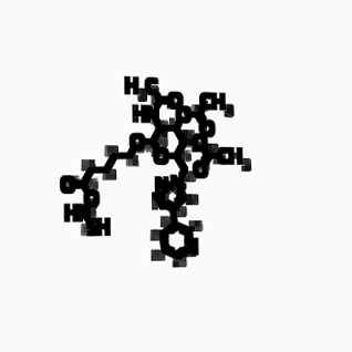 CC(=O)N[C@H]1C(OC(C)=O)[C@@H](OC(C)=O)C(Cn2cc(-c3cccnc3)nn2)O[C@H]1OCCCCC(=O)ONS